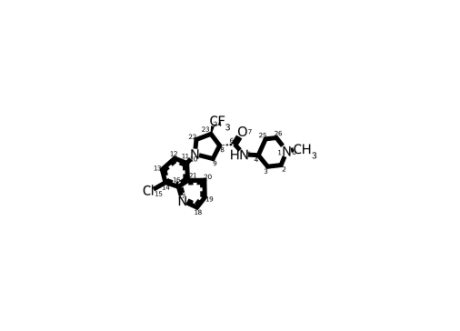 CN1CCC(NC(=O)[C@@H]2CN(c3ccc(Cl)c4ncccc34)C[C@H]2C(F)(F)F)CC1